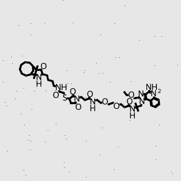 CCOCc1nc2c(N)nc3ccccc3c2n1CC(C)(C)NC(=O)CCOCCOCCNC(=O)CCN1C(=O)CC(SCC(=O)NCCCCC2NC3(C)C4CCCCCCC(C4)C3(C)C2=O)C1=O